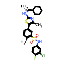 Cc1ccc(-c2sc(N[C@H](C)C3CCCCC3)nc2C)cc1S(=O)(=O)Nc1ccc(F)c(Cl)c1